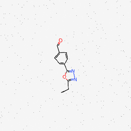 CCc1nnc(-c2ccc(C=O)cc2)o1